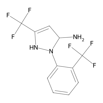 NC1C=C(C(F)(F)F)NN1c1ccccc1C(F)(F)F